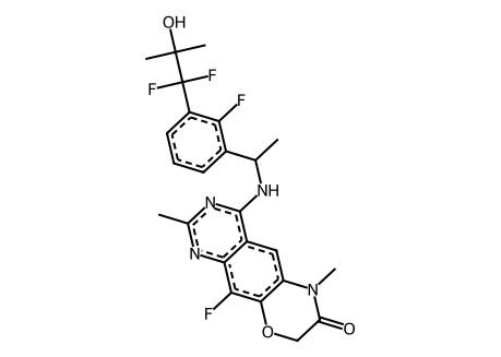 Cc1nc(NC(C)c2cccc(C(F)(F)C(C)(C)O)c2F)c2cc3c(c(F)c2n1)OCC(=O)N3C